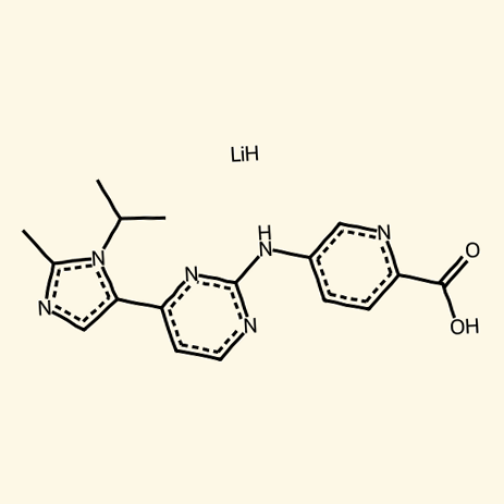 Cc1ncc(-c2ccnc(Nc3ccc(C(=O)O)nc3)n2)n1C(C)C.[LiH]